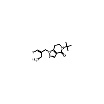 CC(C)(C)N1CCc2c(cnn2C/C(=C/F)CN)C1=O